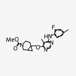 COC(=O)N1CCC2(COc3ncnc(Nc4ccc(C)cc4F)c3C)CC2C1